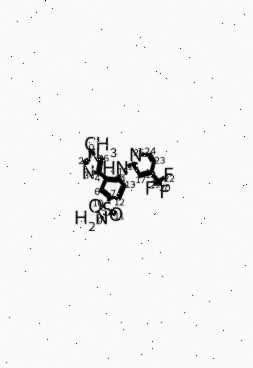 Cn1cnc(-c2cc(S(N)(=O)=O)ccc2Nc2cc(C(F)(F)F)ccn2)c1